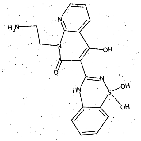 NCCn1c(=O)c(C2=NS(O)(O)c3ccccc3N2)c(O)c2cccnc21